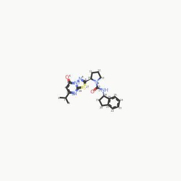 CC(C)c1cc(=O)n2nc([C@H]3CCCN3C(=O)N[C@@H]3CCc4ccccc43)sc2n1